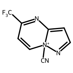 N#C[N+]12C=CC(C(F)(F)F)=NC1=CC=N2